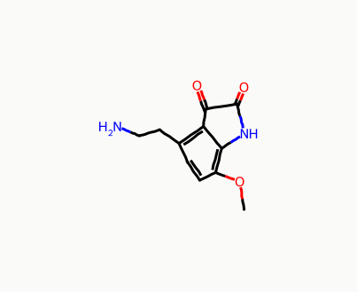 COc1ccc(CCN)c2c1NC(=O)C2=O